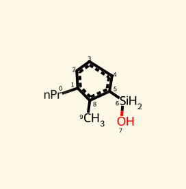 CCCc1cccc([SiH2]O)c1C